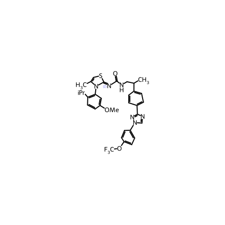 COc1ccc(C(C)C)c(-n2c(C)cs/c2=N\C(=O)NCC(C)c2ccc(-c3ncn(-c4ccc(OC(F)(F)F)cc4)n3)cc2)c1